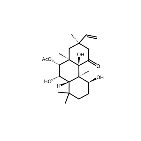 C=C[C@@]1(C)CC(=O)[C@]2(O)[C@@]3(C)[C@@H](O)CCC(C)(C)[C@@H]3[C@H](O)[C@H](OC(C)=O)[C@@]2(C)C1